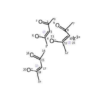 CC(=O)/C=C(/C)[O-].CC(=O)/C=C(/C)[O-].CC(=O)/C=C(/C)[O-].[Ir+3]